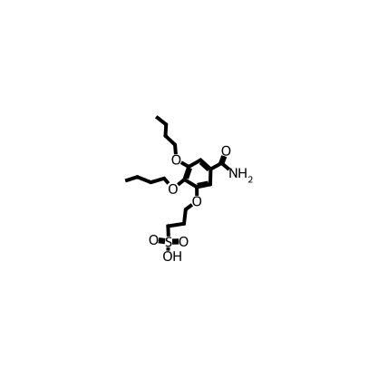 CCCCOc1cc(C(N)=O)cc(OCCCS(=O)(=O)O)c1OCCCC